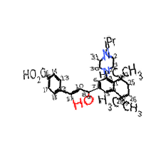 CC(C)N1CCN(c2cc(C(O)C=Cc3ccc(C(=O)O)cc3)cc3c2C(C)(C)CCC3(C)C)CC1